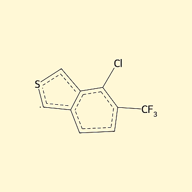 FC(F)(F)c1ccc2[c]scc2c1Cl